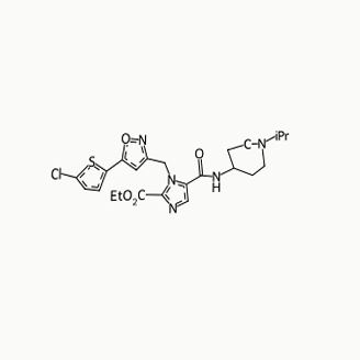 CCOC(=O)c1ncc(C(=O)NC2CCN(C(C)C)CC2)n1Cc1cc(-c2ccc(Cl)s2)on1